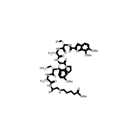 CNC(=O)CCCCNCC(NC(=O)[C@H](C)NC(=O)[C@H](CC(=O)O)NC(=O)[C@@H]1CCCN1C(=O)[C@H](Cc1ccc(OC)cc1)NC(=O)[C@H](C)NC(=O)[C@H](CC(C)C)NC(=O)c1cc2ccc(OC)c(OC)c2o1)C(C)C